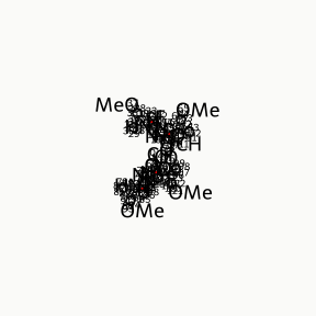 C#C[C@]1(COC(=O)OC[C@@]2(C#C)O[C@@H](n3cnc4c(NC(c5ccccc5)(c5ccccc5)c5ccc(OC)cc5)nc(F)nc43)C[C@@H]2OC(c2ccccc2)(c2ccccc2)c2ccc(OC)cc2)O[C@@H](n2cnc3c(NC(c4ccccc4)(c4ccccc4)c4ccc(OC)cc4)nc(F)nc32)C[C@@H]1OC(c1ccccc1)(c1ccccc1)c1ccc(OC)cc1